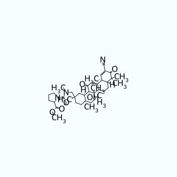 COC(=O)C1CCCN1C(=O)N(C)C[C@@]1(C)CC[C@]2(C)CC[C@@]3(C)[C@]4(C)CC[C@H]5C(C)(C)C(=O)C(C#N)=C[C@]5(C)C4=CC(=O)[C@]3(O)[C@@H]2C1